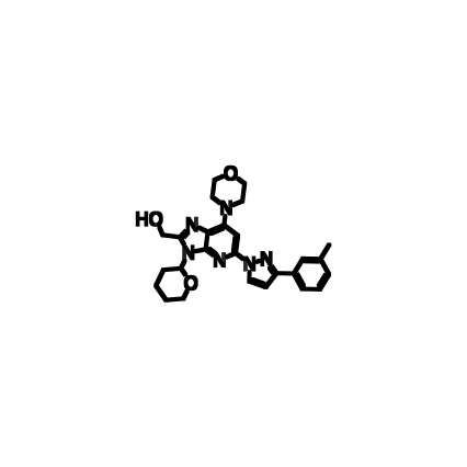 Cc1cccc(-c2ccn(-c3cc(N4CCOCC4)c4nc(CO)n(C5CCCCO5)c4n3)n2)c1